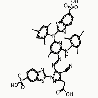 Cc1cc(C)c(Nc2nc(N(c3nc4ccc(S(=O)(=O)O)cc4s3)c3c(C)cc(C)cc3C)cc(C)c2N=Nc2c(C#N)c(CC(=O)O)nn2-c2nc3ccc(S(=O)(=O)O)cc3s2)c(C)c1